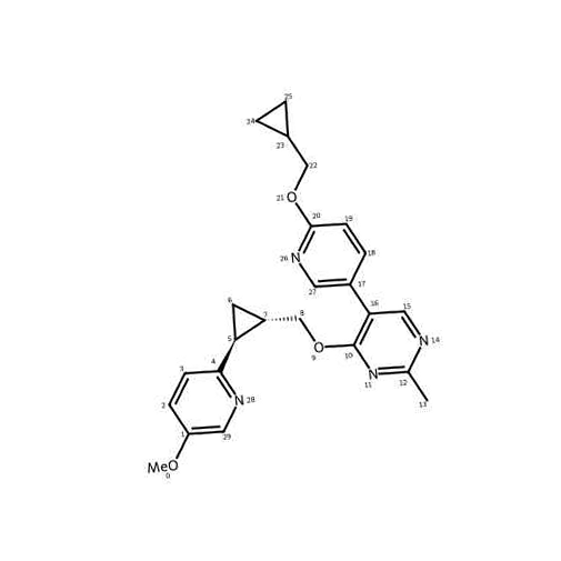 COc1ccc([C@H]2C[C@@H]2COc2nc(C)ncc2-c2ccc(OCC3CC3)nc2)nc1